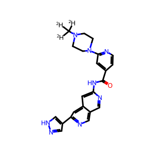 [2H]C([2H])([2H])N1CCN(c2cc(C(=O)Nc3cc4cc(-c5cn[nH]c5)ncc4cn3)ccn2)CC1